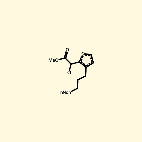 CCCCCCCCCCCCc1ccsc1C(Cl)C(=O)OC